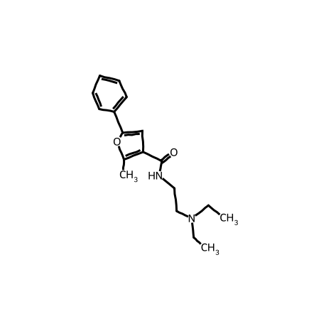 CCN(CC)CCNC(=O)c1cc(-c2ccccc2)oc1C